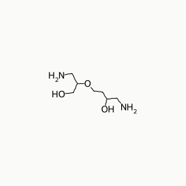 NCC(O)CCOC(CN)CO